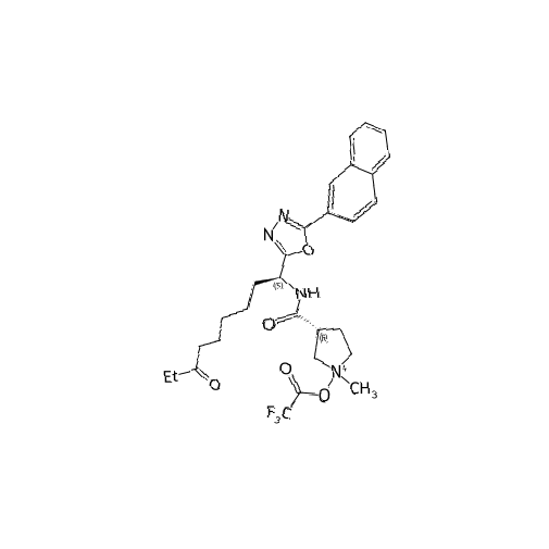 CCC(=O)CCCCC[C@H](NC(=O)[C@@H]1CC[N+](C)(OC(=O)C(F)(F)F)C1)c1nnc(-c2ccc3ccccc3c2)o1